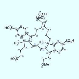 COCCOCCC1(C)/C(=C\C=C\C2=[N+](CCCCCC(=O)O)c3ccc(S(=O)(=O)O)cc3C2(C)CCCS(=O)(=O)O)N(CCOC)c2ccc(S(=O)(=O)O)cc21